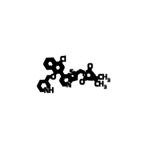 CC1(C)C2C(=O)N(Cc3cc4nccc(-c5cc(Cl)c6ccccc6c5OCC5CCCNC5)c4s3)C(=O)C21